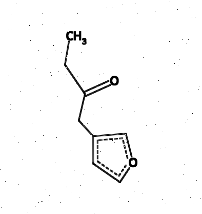 CCC(=O)Cc1ccoc1